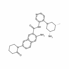 C[C@@H]1C[C@H](N)CN(c2ccncc2NC(=O)c2cc3cc(N4CCCCC4=O)ccc3cc2N)C1